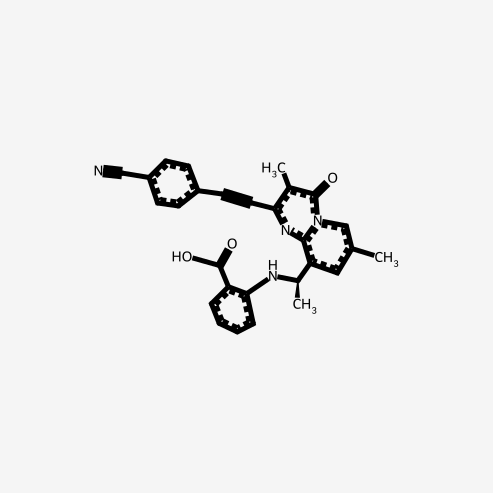 Cc1cc([C@@H](C)Nc2ccccc2C(=O)O)c2nc(C#Cc3ccc(C#N)cc3)c(C)c(=O)n2c1